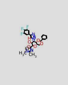 CC(=NC(=O)C1OC2COC(c3ccccc3)OC2C(n2cc(-c3cc(F)c(F)c(F)c3)nn2)C1O)N(C)C